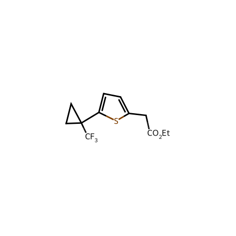 CCOC(=O)Cc1ccc(C2(C(F)(F)F)CC2)s1